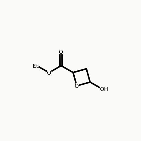 CCOC(=O)C1CC(O)O1